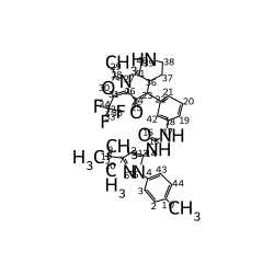 Cc1ccc(-n2nc(C(C)(C)C)cc2NC(=O)Nc2cccc(C(C(=O)c3nc(C)oc3C(F)(F)F)C3CCNCC3)c2)cc1